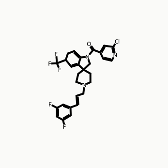 O=C(c1ccnc(Cl)c1)N1CC2(CCN(C/C=C/c3cc(F)cc(F)c3)CC2)C2=CC(C(F)(F)F)CC=C21